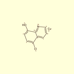 Oc1ccc(Cl)c2cccnc12.[Cu]